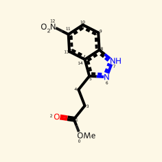 COC(=O)CCc1n[nH]c2ccc([N+](=O)[O-])cc12